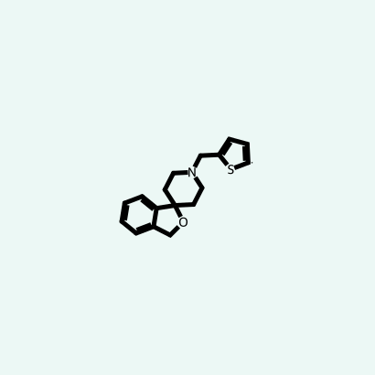 [c]1ccc(CN2CCC3(CC2)OCc2ccccc23)s1